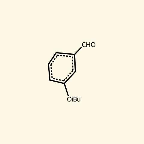 CC(C)COc1cccc(C=O)c1